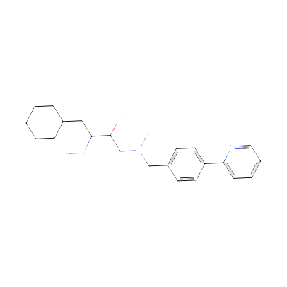 NN(Cc1ccc(-c2ccccn2)cc1)CC(O)C(CC1CCCCC1)NO